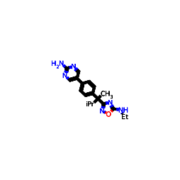 CCNc1nc(C(C)(c2ccc(-c3cnc(N)nc3)cc2)C(C)C)no1